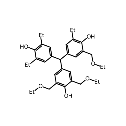 CCOCc1cc(C(c2cc(CC)c(O)c(CC)c2)c2cc(COCC)c(O)c(COCC)c2)cc(CC)c1O